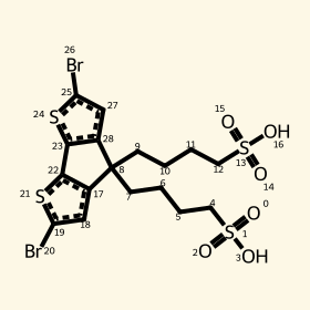 O=S(=O)(O)CCCCC1(CCCCS(=O)(=O)O)c2cc(Br)sc2-c2sc(Br)cc21